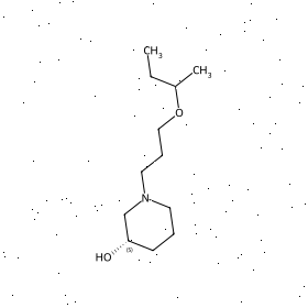 CCC(C)OCCCN1CCC[C@H](O)C1